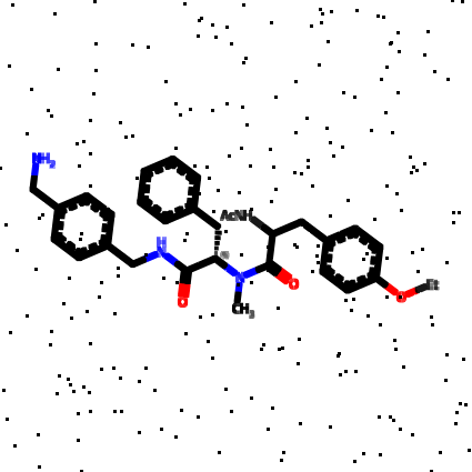 CCOc1ccc(CC(NC(C)=O)C(=O)N(C)[C@@H](Cc2ccccc2)C(=O)NCc2ccc(CN)cc2)cc1